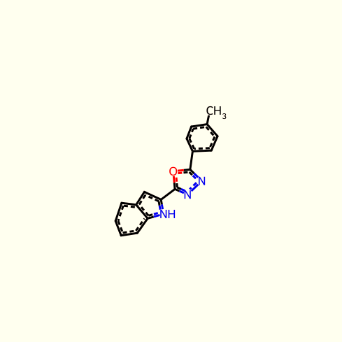 Cc1ccc(-c2nnc(-c3cc4ccccc4[nH]3)o2)cc1